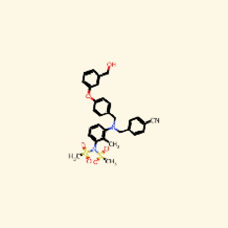 Cc1c(N(Cc2ccc(C#N)cc2)Cc2ccc(Oc3cccc(CO)c3)cc2)cccc1N(S(C)(=O)=O)S(C)(=O)=O